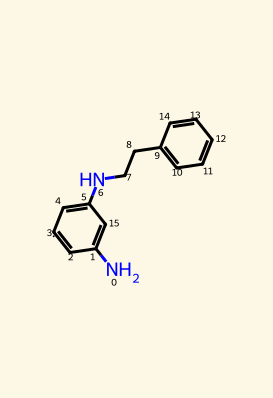 Nc1c[c]cc(NCCc2ccccc2)c1